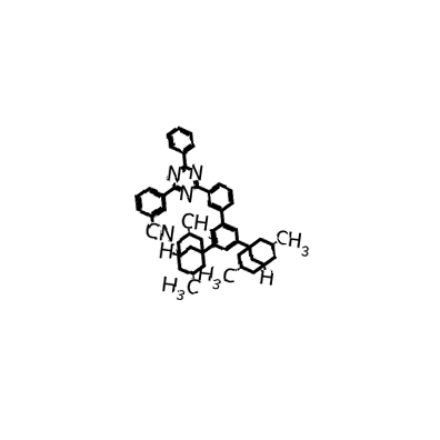 C[C@@H]1C[C@@H]2C[C@H](C)CC(c3cc(-c4cccc(-c5nc(-c6ccccc6)nc(-c6cccc(C#N)c6)n5)c4)cc(C45C[C@H](C)C[C@H](C[C@H](C)C4)C5)c3)(C1)C2